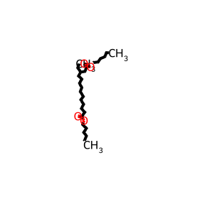 CCCCCCOC(=O)CCCCCCCCCCC(CC)CC(=O)OCCCCCC